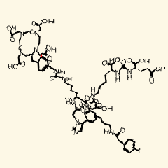 O=C(O)CC[C@H](NC(=O)N[C@@H](CCCCNC(=O)Nc1cccc(-c2cnnn2CC(=O)N[C@@H](CCCCNC(=S)Nc2ccc(CC3CN(CC(=O)O)CCN(CC(=O)O)CCN(CC(=O)O)CCN3CC(=O)O)cc2)C(=O)N[C@@H](CCCCNC(=O)Cc2ccc(I)cc2)C(=O)O)c1)C(=O)O)C(=O)O